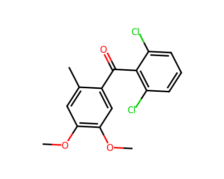 COc1cc(C)c(C(=O)c2c(Cl)cccc2Cl)cc1OC